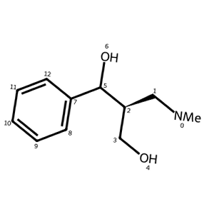 CNC[C@@H](CO)C(O)c1ccccc1